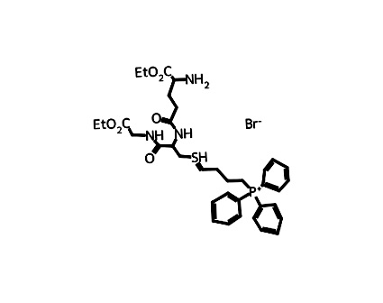 CCOC(=O)CNC(=O)C(C[SH]=CCCC[P+](c1ccccc1)(c1ccccc1)c1ccccc1)NC(=O)CCC(N)C(=O)OCC.[Br-]